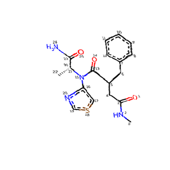 CNC(=O)CC(Cc1ccccc1)C(=O)N(c1cscn1)[C@H](C)C(N)=O